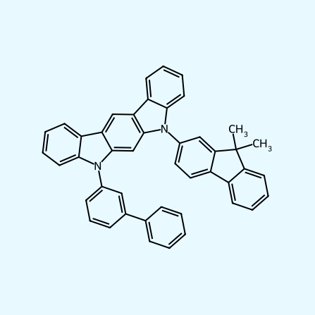 CC1(C)c2ccccc2-c2ccc(-n3c4ccccc4c4cc5c6ccccc6n(-c6cccc(-c7ccccc7)c6)c5cc43)cc21